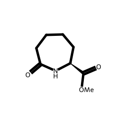 COC(=O)[C@@H]1CCCCC(=O)N1